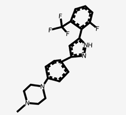 CN1CCN(c2ccc(-c3cc(-c4c(F)cccc4C(F)(F)F)[nH]n3)cc2)CC1